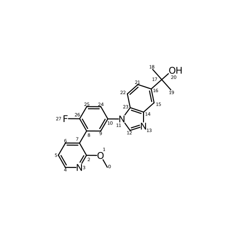 COc1ncccc1-c1cc(-n2cnc3cc(C(C)(C)O)ccc32)ccc1F